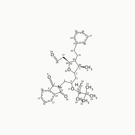 C[C@H]1C(CC(CN2C(=O)c3ccccc3C2=O)O[Si](C)(C)C(C)(C)C)O[C@@H](CC=O)C1CCc1ccccc1